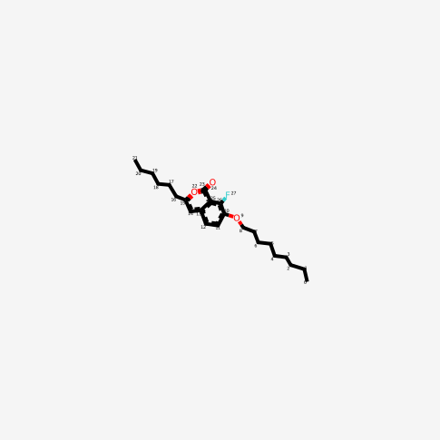 CCCCCCCCCOc1ccc2cc(CCCCCC)oc(=O)c2c1F